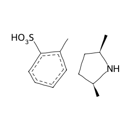 C[C@@H]1CC[C@H](C)N1.Cc1ccccc1S(=O)(=O)O